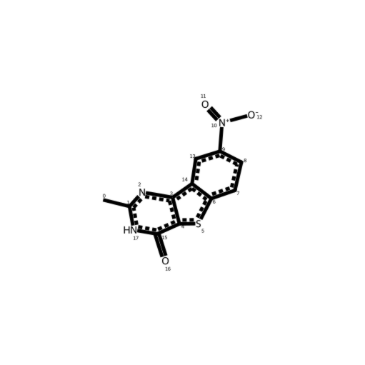 Cc1nc2c(sc3ccc([N+](=O)[O-])cc32)c(=O)[nH]1